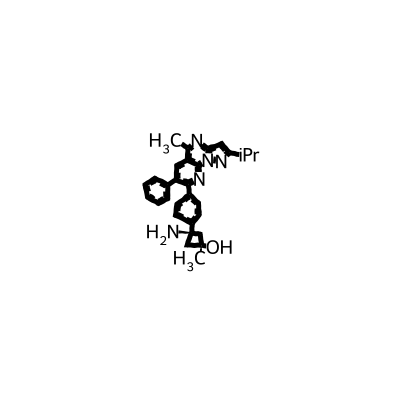 Cc1nc2cc(C(C)C)nn2c2nc(-c3ccc([C@]4(N)C[C@@](C)(O)C4)cc3)c(-c3ccccc3)cc12